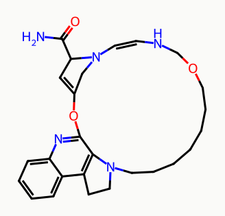 NC(=O)C1C=C2CN1C=CNCOCCCCCCCN1CCc3c1c(nc1ccccc31)O2